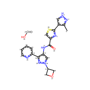 Cc1n[nH]cc1-c1nc(C(=O)Nc2cn(C3COC3)nc2-c2ccccn2)cs1.O=CO